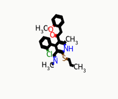 CCCSC1=C(/C=N/C)C(c2ccccc2Cl)C(C(=O)Cc2ccccc2OC)=C(C)N1